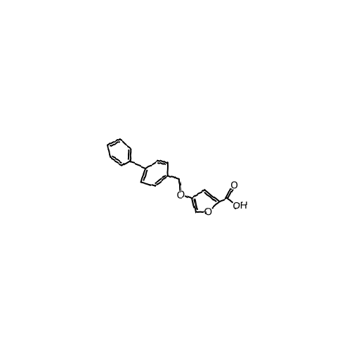 O=C(O)c1cc(OCc2ccc(-c3ccccc3)cc2)co1